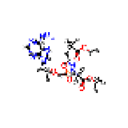 CCOC(=O)C1(CCOP(=O)(CO[C@@H](C)Cn2cnc3c(N)ncnc32)NC(C)(C)C(=O)OC(C)C)CC1